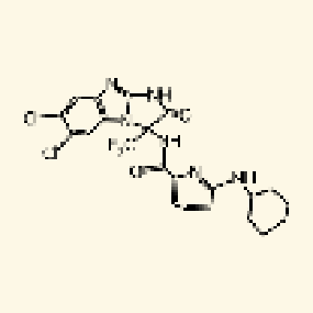 O=C(NC1(C(F)(F)F)C(=O)Nc2nc3cc(Cl)c(Cl)cc3n21)c1cccc(NC2CCCCC2)n1